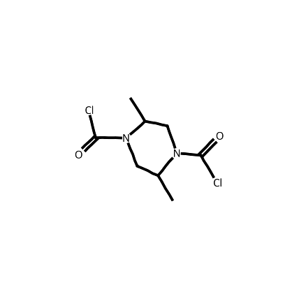 CC1CN(C(=O)Cl)C(C)CN1C(=O)Cl